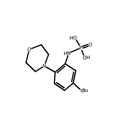 CC(C)(C)c1ccc(N2CCOCC2)c(NP(=O)(O)O)c1